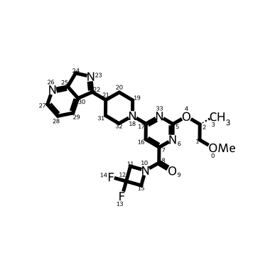 COC[C@@H](C)Oc1nc(C(=O)N2CC(F)(F)C2)cc(N2CCC(C3=NCc4ncccc43)CC2)n1